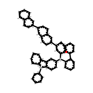 c1ccc(-c2ccccc2N(c2cccc(-c3ccc4cc(-c5ccc6ccccc6c5)ccc4c3)c2)c2ccc3c(c2)c2ccccc2n3-c2ccccc2)cc1